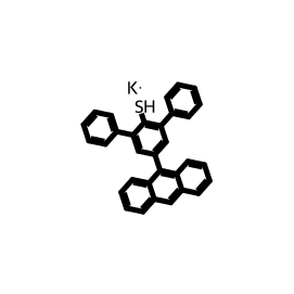 Sc1c(-c2ccccc2)cc(-c2c3ccccc3cc3ccccc23)cc1-c1ccccc1.[K]